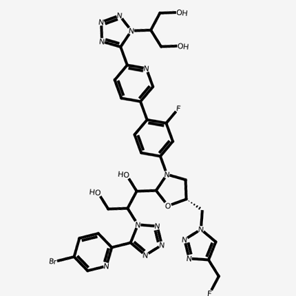 OCC(CO)n1nnnc1-c1ccc(-c2ccc(N3C[C@H](Cn4cc(CF)nn4)OC3C(O)C(CO)n3nnnc3-c3ccc(Br)cn3)cc2F)cn1